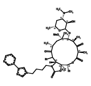 CCC1C(=O)[C@H](C)C[C@](C)(OC)[C@H](OC2O[C@H](C)C[C@H](N(C)C)[C@H]2O)[C@@H](C)C(=O)[C@@H](C)C(=O)O[C@H](CC)[C@@]2(C)OC(=O)N(CCCCn3cnc(-c4cccnc4)c3)[C@H]12